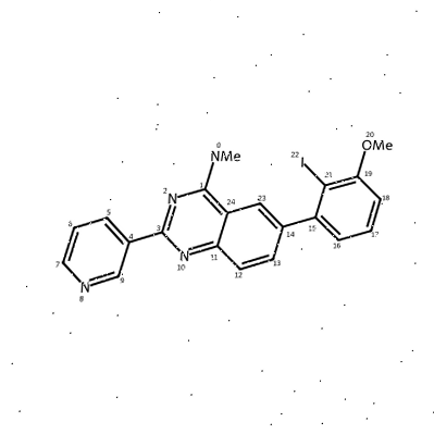 CNc1nc(-c2cccnc2)nc2ccc(-c3cccc(OC)c3I)cc12